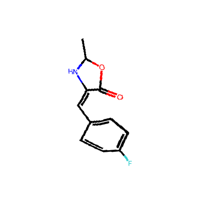 CC1N/C(=C/c2ccc(F)cc2)C(=O)O1